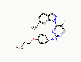 COCCOc1ccc(Nc2ncc(F)c(-n3ncc4ccc([N+](=O)[O-])cc43)n2)cc1